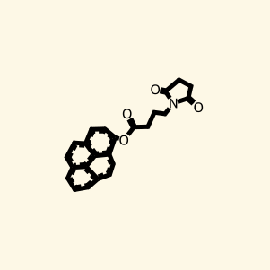 O=C(CCCN1C(=O)CCC1=O)Oc1ccc2ccc3cccc4ccc1c2c34